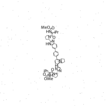 COC(=O)N[C@H](C(=O)N1CCCC1c1nc2ccc(-c3ccc(-c4ccc(-c5cnc([C@@H]6CCCN6C(=O)[C@@H](NC(=O)OC)C(C)C)[nH]5)c5c4C4CCC5N4C)cc3)cc2[nH]1)C(C)C